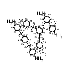 CC(C)(c1ccc(N)cc1)c1ccc(C(C)(C)c2ccc(N)cc2)cc1.CC(C)(c1ccc(N)cc1)c1cccc(C(C)(C)c2ccc(N)cc2)c1.Cc1cc(N)ccc1-c1ccc(N)cc1C